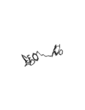 O=CNCCCCCCc1ccc(OC(F)(F)F)cc1